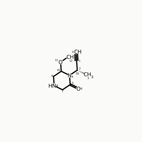 C#C[C@H](C)N1C(=O)CNCC1OC